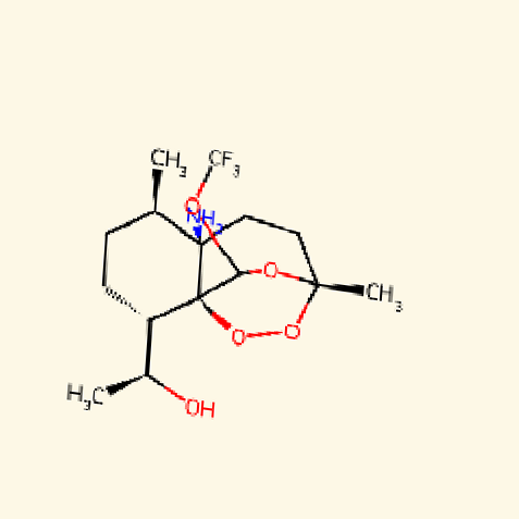 C[C@H](O)[C@@H]1CC[C@@H](C)[C@]2(N)CC[C@]3(C)OO[C@@]12C(OC(F)(F)F)O3